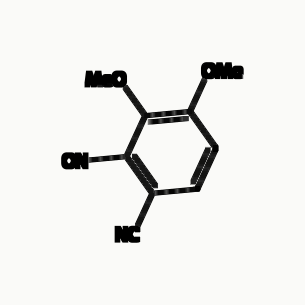 COc1ccc(C#N)c(N=O)c1OC